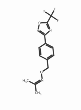 CC(C)=NOCc1ccc(-c2noc(C(F)(F)F)n2)cc1